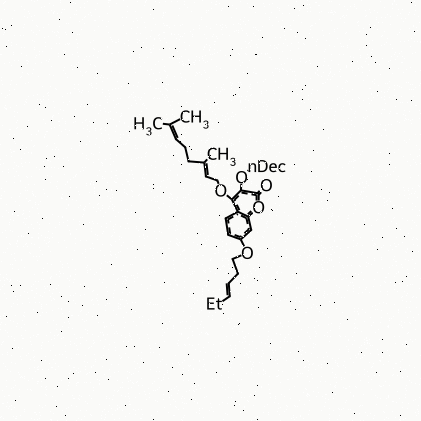 CCC=CCCOc1ccc2c(OC/C=C(\C)CCC=C(C)C)c(OCCCCCCCCCC)c(=O)oc2c1